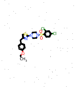 CCOc1ccc(Cc2csc(N3CCN(S(=O)(=O)c4ccc(Cl)cc4Cl)CC3)n2)cc1